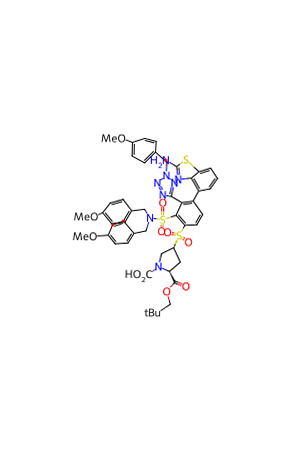 COc1ccc(CN(Cc2ccc(OC)cc2)S(=O)(=O)c2c(S(=O)(=O)[C@H]3C[C@@H](C(=O)OCC(C)(C)C)N(C(=O)O)C3)ccc(-c3cccc4sc(N)nc34)c2-c2nnn(Cc3ccc(OC)cc3)n2)cc1